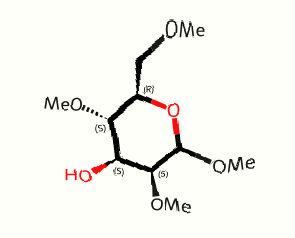 COC[C@H]1OC(OC)[C@@H](OC)[C@@H](O)[C@@H]1OC